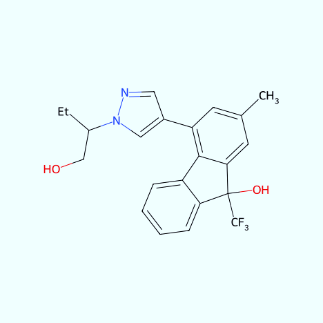 CCC(CO)n1cc(-c2cc(C)cc3c2-c2ccccc2C3(O)C(F)(F)F)cn1